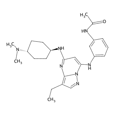 CCc1cnn2c(Nc3cccc(NC(C)=O)c3)cc(N[C@H]3CC[C@H](N(C)C)CC3)nc12